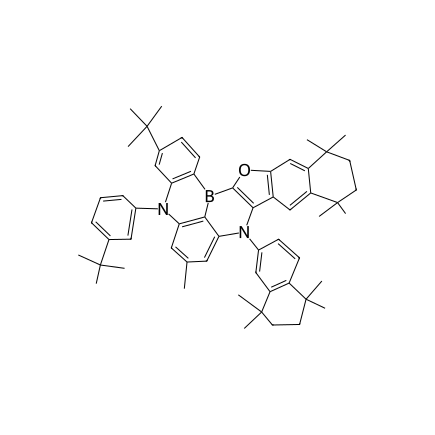 Cc1cc2c3c(c1)N(c1ccc4c(c1)C(C)(C)CCC4(C)C)c1c(oc4cc5c(cc14)C(C)(C)CCC5(C)C)B3c1ccc(C(C)(C)C)cc1N2c1cccc(C(C)(C)C)c1